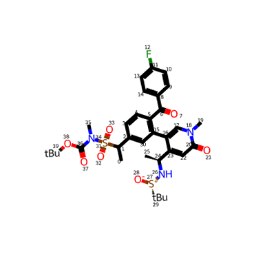 CC(c1ccc(C(=O)c2ccc(F)cc2)c(-c2cn(C)c(=O)cc2[C@H](C)N[S@@+]([O-])C(C)(C)C)c1)S(=O)(=O)N(C)C(=O)OC(C)(C)C